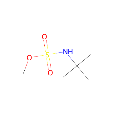 COS(=O)(=O)NC(C)(C)C